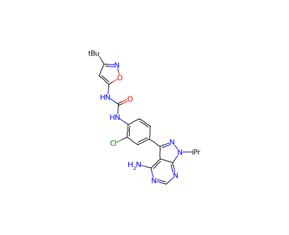 CC(C)n1nc(-c2ccc(NC(=O)Nc3cc(C(C)(C)C)no3)c(Cl)c2)c2c(N)ncnc21